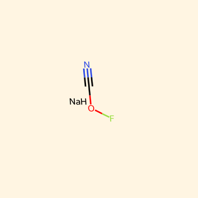 N#COF.[NaH]